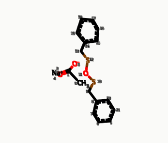 CC(=O)[O-].[Na+].c1ccc(CSOSCc2ccccc2)cc1